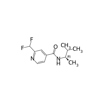 CC(C)[C@@H](C)NC(=O)c1ccnc(C(F)F)c1